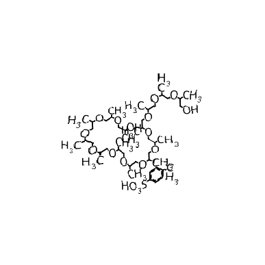 CC(O)COC(C)COC(C)COC(C)COC(C)COC(C)COC(C)COC(C)COC(C)COC(C)COC(C)COC(C)COC(C)CO.Cc1ccc(S(=O)(=O)O)cc1